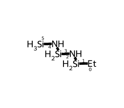 CC[SiH2]N[SiH2]N[SiH3]